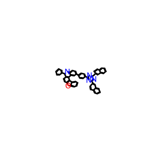 c1ccc(-c2nc3ccc(-c4ccc(-c5nc(-c6ccc7ccccc7c6)nc(-c6ccc7ccccc7c6)n5)cc4)cc3c3c2ccc2oc4ccccc4c23)cc1